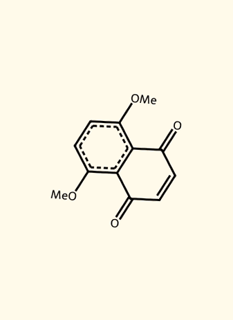 COc1ccc(OC)c2c1C(=O)C=CC2=O